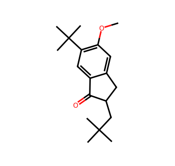 COc1cc2c(cc1C(C)(C)C)C(=O)C(CC(C)(C)C)C2